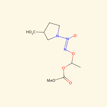 COC(=O)OC(C)ON=[N+]([O-])N1CCC(C(=O)O)C1